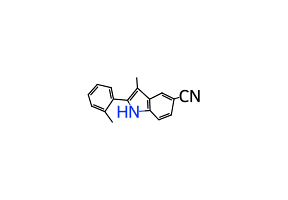 Cc1ccccc1-c1[nH]c2ccc(C#N)cc2c1C